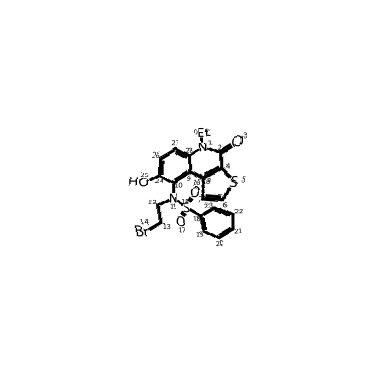 CCn1c(=O)c2sccc2c2c(N(CCBr)S(=O)(=O)c3ccccc3)c(O)ccc21